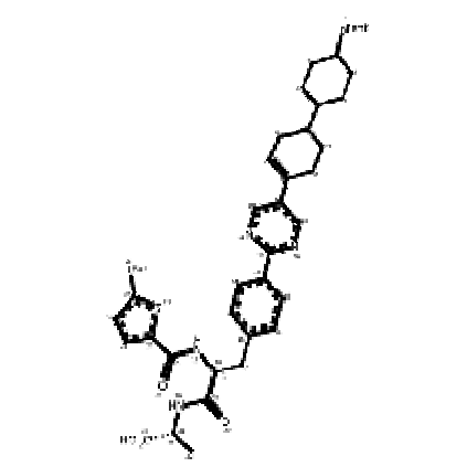 CCCCCC1CCC(C2CC=C(c3cnc(-c4ccc(C[C@H](NC(=O)c5ccc(C(C)(C)C)s5)C(=O)N[C@H](C)C(=O)O)cc4)nc3)CC2)CC1